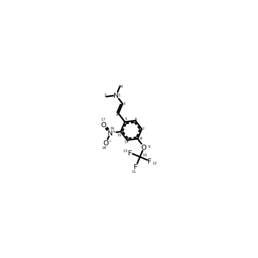 CN(C)/C=C/c1ccc(OC(F)(F)F)cc1[N+](=O)[O-]